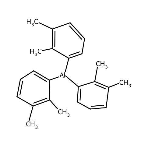 Cc1ccc[c]([Al]([c]2cccc(C)c2C)[c]2cccc(C)c2C)c1C